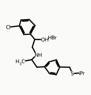 Br.CC(Cc1ccc(CSC(C)C)cc1)NCC(O)c1cccc(Cl)c1